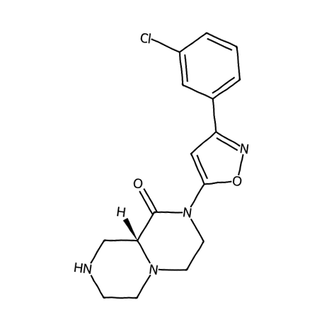 O=C1[C@H]2CNCCN2CCN1c1cc(-c2cccc(Cl)c2)no1